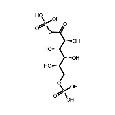 O=C(OP(=O)(O)O)[C@@H](O)[C@@H](O)[C@H](O)[C@H](O)COP(=O)(O)O